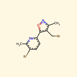 Cc1nc(-c2onc(C)c2CBr)ccc1Br